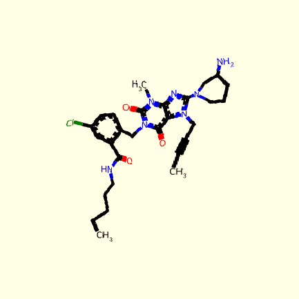 CC#CCn1c(N2CCCC(N)C2)nc2c1c(=O)n(Cc1ccc(Cl)cc1C(=O)NCCCCC)c(=O)n2C